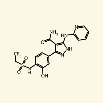 NC(=O)c1c(-c2ccc(NS(=O)(=O)CC(F)(F)F)c(O)c2)n[nH]c1Nc1ccccn1